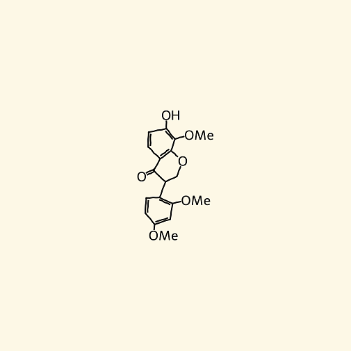 COc1ccc(C2COc3c(ccc(O)c3OC)C2=O)c(OC)c1